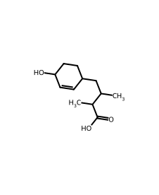 CC(CC1C=CC(O)CC1)C(C)C(=O)O